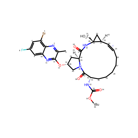 Cc1nc2c(Br)cc(F)cc2nc1O[C@@H]1C[C@H]2C(=O)N[C@]3(C(=O)O)C[C@H]3/C=C\CCCCC[C@H](NC(=O)OC(C)(C)C)C(=O)N2C1